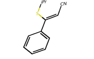 CC(C)SC(=CC#N)c1ccccc1